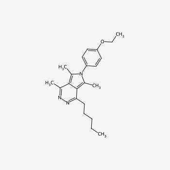 CCCCCc1nnc(C)c2c(C)n(-c3ccc(OCC)cc3)c(C)c12